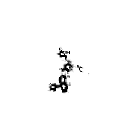 COc1nc(O[C@H]2CCc3c(-c4ccsc4)cccc32)c(Cl)cc1CNCC1CCC(=O)N1